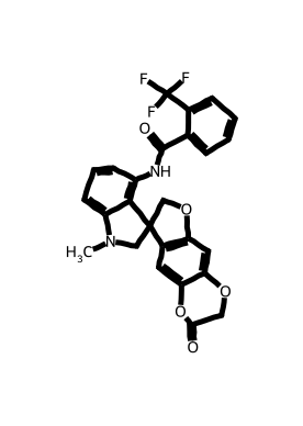 CN1CC2(COc3cc4c(cc32)OC(=O)CO4)c2c(NC(=O)c3ccccc3C(F)(F)F)cccc21